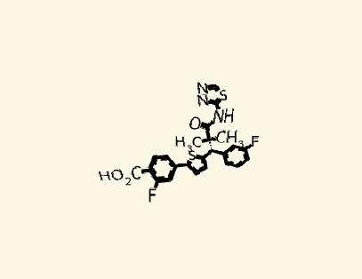 CC(C)(C(=O)Nc1nncs1)[C@H](c1cccc(F)c1)c1ccc(-c2ccc(C(=O)O)c(F)c2)s1